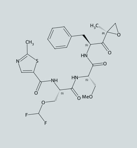 COC[C@H](NC(=O)[C@H](COC(F)F)NC(=O)c1cnc(C)s1)C(=O)N[C@@H](Cc1ccccc1)C(=O)[C@@]1(C)CO1